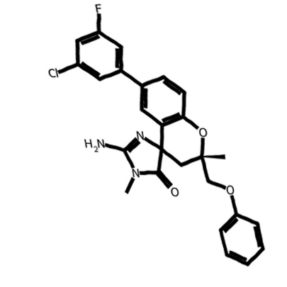 CN1C(=O)C2(C[C@@](C)(COc3ccccc3)Oc3ccc(-c4cc(F)cc(Cl)c4)cc32)N=C1N